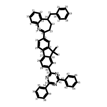 CC1(C)c2cc(C3=Nc4ccccc4C(Cc4ccccc4)CC3)ccc2-c2ccc(-c3nc(-c4ccccc4)nc(-c4ccccc4)n3)cc21